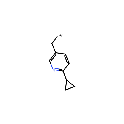 CC(C)Cc1ccc(C2CC2)nc1